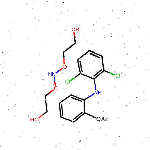 CC(=O)Oc1ccccc1Nc1c(Cl)cccc1Cl.OCCONOCCO